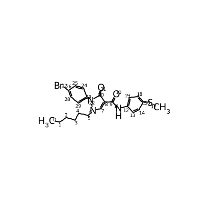 CCCCCCn1cc(C(=O)Nc2ccc(SC)cc2)c(=O)n1-c1ccc(Br)cc1